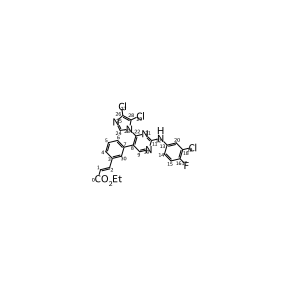 CCOC(=O)/C=C/c1cccc(-c2cnc(Nc3ccc(F)c(Cl)c3)nc2-n2cnc(Cl)c2Cl)c1